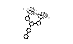 CC1(C)N=C(c2cccc(-c3cc(-c4ccc(-c5ccccc5)cc4)cc(-c4cccc(C5=NC(C)(C)C(C)(C)O5)c4)c3)c2)OC1(C)C